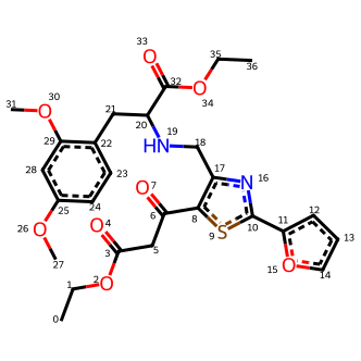 CCOC(=O)CC(=O)c1sc(-c2ccco2)nc1CNC(Cc1ccc(OC)cc1OC)C(=O)OCC